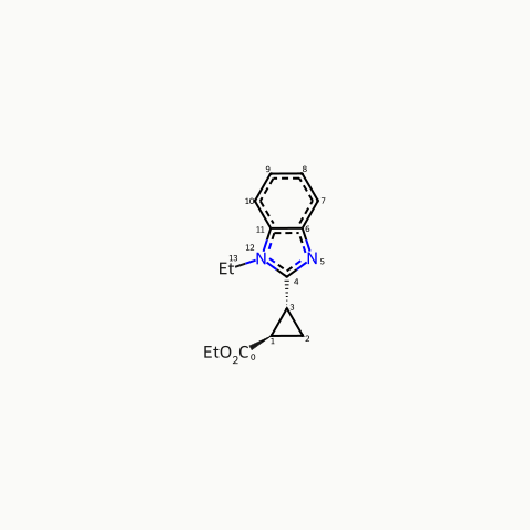 CCOC(=O)[C@@H]1C[C@H]1c1nc2ccccc2n1CC